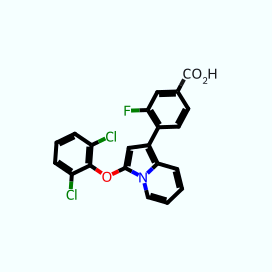 O=C(O)c1ccc(-c2cc(Oc3c(Cl)cccc3Cl)n3ccccc23)c(F)c1